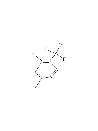 Cc1[c]c(C)c(C([O])(F)F)cn1